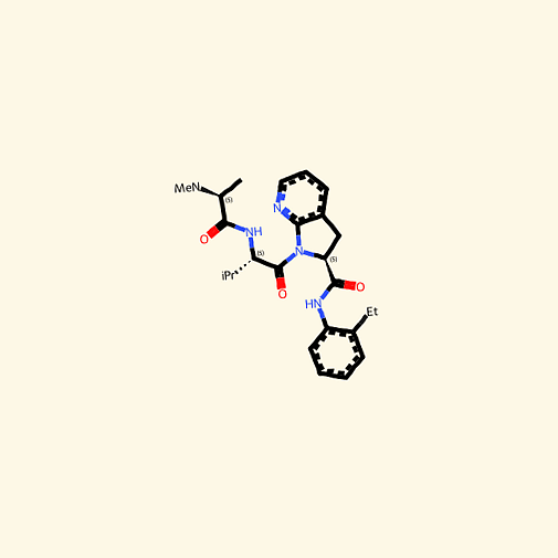 CCc1ccccc1NC(=O)[C@@H]1Cc2cccnc2N1C(=O)[C@@H](NC(=O)[C@H](C)NC)C(C)C